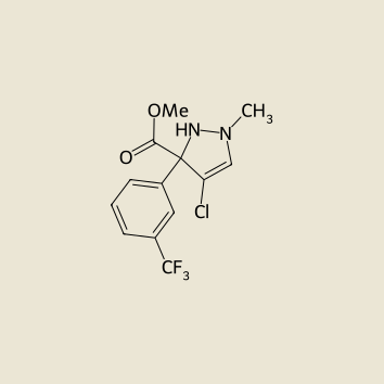 COC(=O)C1(c2cccc(C(F)(F)F)c2)NN(C)C=C1Cl